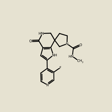 CNC(=O)N1CCC2(CNC(=O)c3cc(-c4ccncc4F)[nH]c32)C1